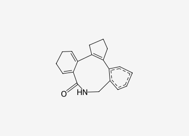 O=C1NCc2ccccc2C2=C(CCC2)C2=CCCC=C12